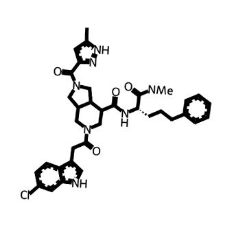 CNC(=O)[C@H](CCCc1ccccc1)NC(=O)C1CN(C(=O)Cc2c[nH]c3cc(Cl)ccc23)CC2CN(C(=O)c3cc(C)[nH]n3)CC21